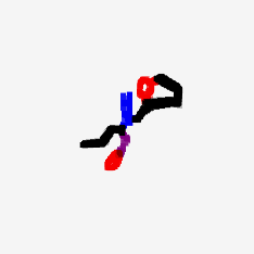 CCCC(NCc1ccco1)P=O